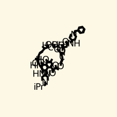 C/C1=C/C=C/C(C)[C@H](O)CC(O)C[C@H](OC(=O)CC(=O)NC2CCN(Cc3ccccc3)CC2)[C@H](C)C/C=C/OC2(C)Oc3c(C)c(O)c4c(c3C2=O)C2=NC3(CCN(CC(C)C)CC3)NC2=C(NC1=O)C4=O